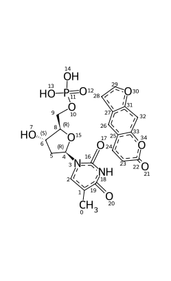 Cc1cn([C@H]2C[C@H](O)[C@@H](COP(=O)(O)O)O2)c(=O)[nH]c1=O.O=c1ccc2cc3ccoc3cc2o1